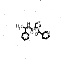 CC(NC(=O)[C@@H]1CSCN1C(=O)c1cccnc1)c1ccccc1